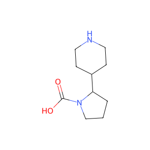 O=C(O)N1CCCC1C1CCNCC1